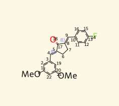 COc1cc(/C=C2\CC/C(=C\c3ccc(F)cc3)C2=O)cc(OC)c1